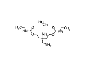 CCNC(=O)OCCC(N)(CN)CCOC(=O)NCC.Cl.Cl